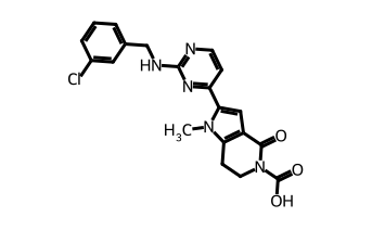 Cn1c(-c2ccnc(NCc3cccc(Cl)c3)n2)cc2c1CCN(C(=O)O)C2=O